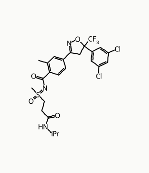 Cc1cc(C2=NOC(c3cc(Cl)cc(Cl)c3)(C(F)(F)F)C2)ccc1C(=O)N=S(C)(=O)CCC(=O)NC(C)C